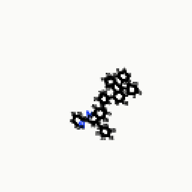 c1ccc(C2(c3ccccc3)c3ccccc3-c3c(-c4cccc(-c5ccc6c(-c7ccccc7)cc(-c7ccccn7)nc6c5)c4)cccc32)cc#1